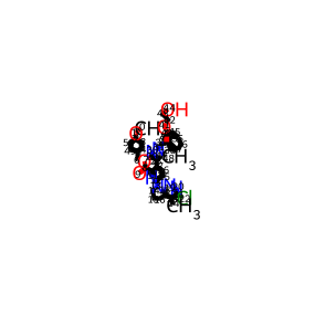 COc1ccc(COC(=O)c2nc(N3CCCc4c3nnc(Cl)c4C)ccc2-c2cnn(CC34CC5CC(C3)CC(OCCO)(C5)C4)c2C)cc1